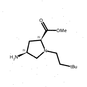 COC(=O)[C@@H]1C[C@H](N)CN1CCC(C)(C)C